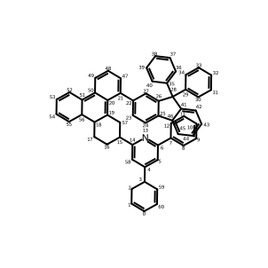 C1=CCC(c2cc(-c3ccccc3)nc(C3CCC4C(=c5c(-c6ccc7c(c6)C(c6ccccc6)(c6ccccc6)c6ccccc6-7)cccc5=C5C=CC=CC54)C3)c2)C=C1